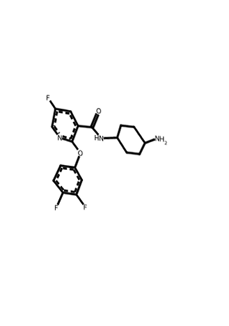 NC1CCC(NC(=O)c2cc(F)cnc2Oc2ccc(F)c(F)c2)CC1